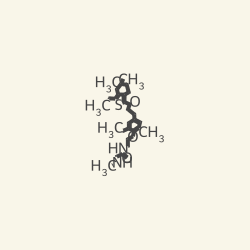 CCc1cc(CCC(=O)c2sc(CC)c3c2CCC(C)(C)C3)cc(C)c1OCCNC(=O)CNC